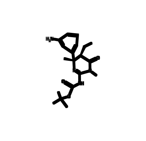 CC[C@H]1C(=O)N(C)C(NC(=O)OC(C)(C)C)=N[C@]1(C)c1cccc(N)c1